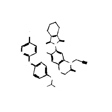 C#CCN1C(=O)COc2cc(F)c(N3C(=O)C4=C(CCCC4)C3=O)cc21.CC(Oc1ccc(Oc2ccc(C(F)(F)F)cn2)cc1)C(=O)O